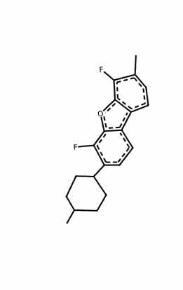 Cc1ccc2c(oc3c(F)c(C4CCC(C)CC4)ccc32)c1F